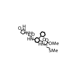 COC(=O)[C@H](CCSC)NC(=O)c1ccc(NC(=O)CN[C@@H]2CCC(=O)N2)cc1-c1ccccc1